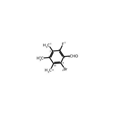 Cc1c(C)c(F)c(C=O)c(Br)c1C